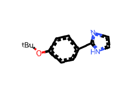 CC(C)(C)Oc1ccc(-c2ncc[nH]2)cc1